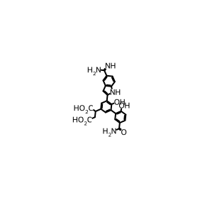 N=C(N)c1ccc2[nH]c(-c3cc(C(CC(=O)O)C(=O)O)cc(-c4cc(C(N)=O)ccc4O)c3O)cc2c1